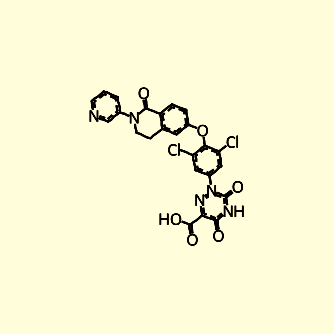 O=C(O)c1nn(-c2cc(Cl)c(Oc3ccc4c(c3)CCN(c3cccnc3)C4=O)c(Cl)c2)c(=O)[nH]c1=O